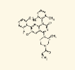 C=CC(=O)N1CCN(c2nc(=O)n(-c3c(C)cccc3C(C)(C)C)c3nc(-c4c(O)cccc4F)c(Cl)cc23)[C@@H](C)C1